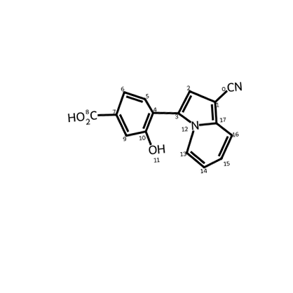 N#Cc1cc(-c2ccc(C(=O)O)cc2O)n2ccccc12